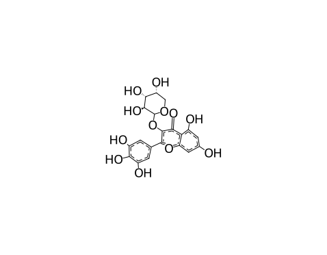 O=c1c(OC2OC[C@@H](O)[C@@H](O)[C@@H]2O)c(-c2cc(O)c(O)c(O)c2)oc2cc(O)cc(O)c12